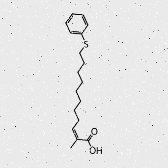 CC(=CCCCCCCCCSc1ccccc1)C(=O)O